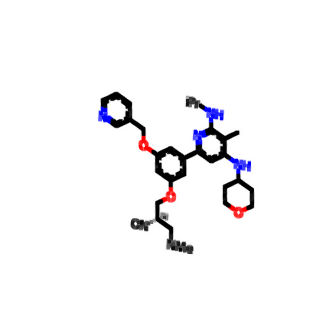 CNC[C@@H](COc1cc(OCc2cccnc2)cc(-c2cc(NC3CCOCC3)c(C)c(NC(C)C)n2)c1)N=O